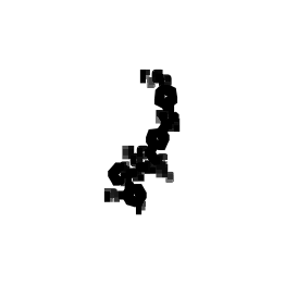 CC(C)c1cc(F)ccc1N1CCCS/C1=N\C(=O)NC(C)C(C)c1ccc(-c2ncn(-c3ccc(OC(F)(F)F)cc3)n2)cc1